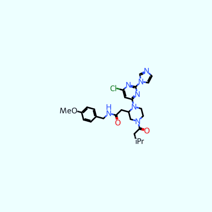 COc1ccc(CNC(=O)CC2CN(C(=O)CC(C)C)CCN2c2cc(Cl)nc(-n3ccnc3)n2)cc1